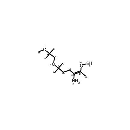 COC(C)(C)COC(C)(C)CC/C(N)=C(/C)OS